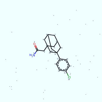 NC(=O)[CH]C12CC3CC(C1)CC(c1ccc(Cl)cc1)(C3)C2